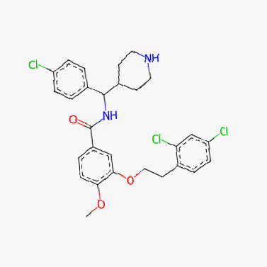 COc1ccc(C(=O)NC(c2ccc(Cl)cc2)C2CCNCC2)cc1OCCc1ccc(Cl)cc1Cl